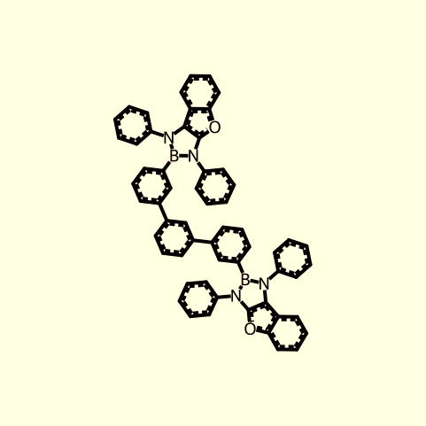 c1ccc(N2B(c3cccc(-c4cccc(-c5cccc(B6N(c7ccccc7)c7oc8ccccc8c7N6c6ccccc6)c5)c4)c3)N(c3ccccc3)c3c2oc2ccccc32)cc1